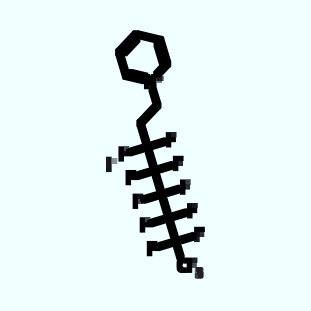 FC(F)(F)C(F)(F)C(F)(F)C(F)(F)C(F)(F)C(F)(F)CC[n+]1ccccc1.[I-]